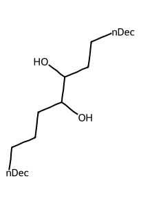 CCCCCCCCCCCCCC(O)C(O)CCCCCCCCCCCC